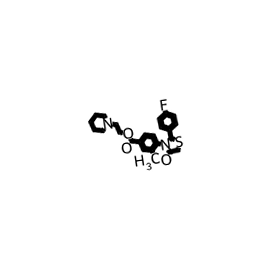 Cc1cc(C(=O)OCCN2CCCCC2)ccc1N1C(=O)CSC1c1ccc(F)cc1